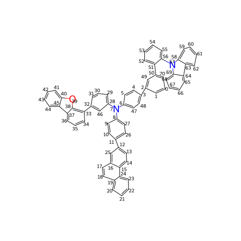 c1cc(-c2ccc(N(c3ccc(-c4ccc5c(ccc6ccccc65)c4)cc3)c3cccc(-c4cccc5c4oc4ccccc45)c3)cc2)cc(-c2ccccc2-n2c3ccccc3c3ccccc32)c1